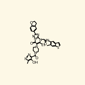 CCc1c(N2CCN(C(=O)c3ncnc(C)c3O)CC2)c(=O)n2nc(-c3ccc4c(c3)CCO4)nc2n1CC(=O)Nc1cc2ccsc2cc1C